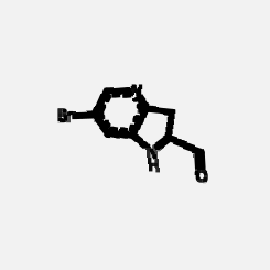 O=CC1Cc2ncc(Br)cc2N1